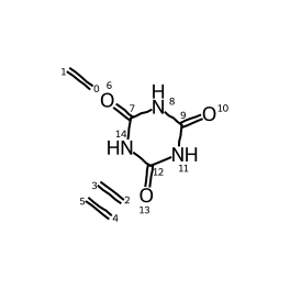 C=C.C=C.C=C.O=c1[nH]c(=O)[nH]c(=O)[nH]1